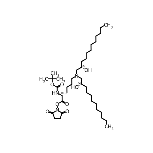 CCCCCCCCCC[C@H](O)CN(CCCC[C@@H](NC(=O)OC(C)(C)C)C(=O)ON1C(=O)CCC1=O)C[C@@H](O)CCCCCCCCCC